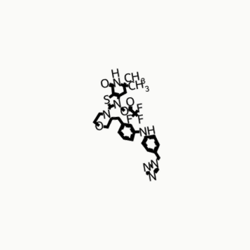 CC1(C)CC2=C(SC(N3CCOCC3Cc3cccc(Nc4ccc(Cn5cncn5)cc4)c3)N2OC(=O)C(F)(F)F)C(=O)N1